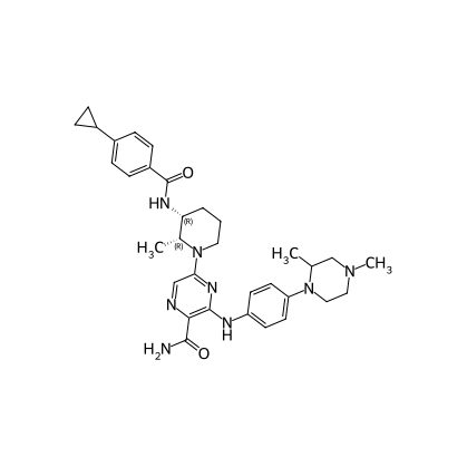 CC1CN(C)CCN1c1ccc(Nc2nc(N3CCC[C@@H](NC(=O)c4ccc(C5CC5)cc4)[C@H]3C)cnc2C(N)=O)cc1